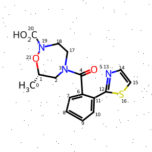 C[C@H]1CN(C(=O)c2ccccc2-c2nccs2)CCN(C(=O)O)O1